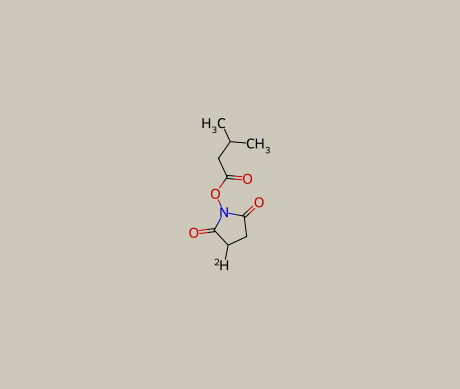 [2H]C1CC(=O)N(OC(=O)CC(C)C)C1=O